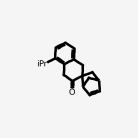 CC(C)c1cccc2c1CC(=O)C1(C2)CC2C=CC1C2